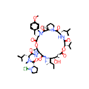 CC[C@H](C)[C@H]1NC(=O)[C@@H](NC(=O)[C@@H](CC(C)C)N(C)C(=O)[C@@H]2CCCN2Cl)[C@@H](C)OC(=O)[C@H](Cc2ccc(OC)cc2)N(C)C(=O)[C@@H]2CCCN2C(=O)[C@H](CC(C)C)NC(=O)[C@H](C(C)C)OC(=O)C[C@@H]1O